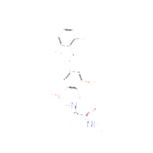 COc1cc(OCc2c(F)cccc2Cl)cc(OC)c1CN[C@@H](C)C(N)=O